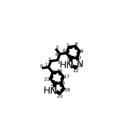 CC(CCC(C)c1cccc2nc[nH]c12)c1ccc2cc[nH]c2c1